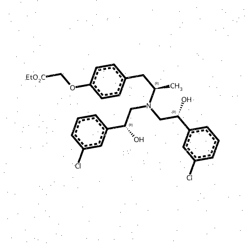 CCOC(=O)COc1ccc(C[C@@H](C)N(C[C@H](O)c2cccc(Cl)c2)C[C@H](O)c2cccc(Cl)c2)cc1